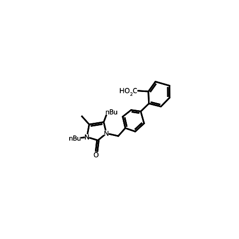 CCCCc1c(C)n(CCCC)c(=O)n1Cc1ccc(-c2ccccc2C(=O)O)cc1